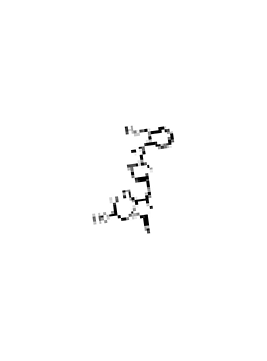 Cc1ccccc1Nc1nc(C=C2SC(=S)N(CC(=O)O)C2=O)cs1